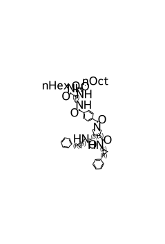 CCCCCCCCOC(=O)N[C@@H](CNC(=O)c1ccc(C(=O)N2C[C@@H](C(=O)N[C@H]3C[C@@H]3c3ccccc3)[C@H](C(=O)N[C@H]3C[C@@H]3c3ccccc3)C2)cc1)C(=O)NCCCCCC